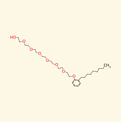 CCCCCCCCCc1ccccc1OCCOCCOCCOCCOCCOCCOCCO